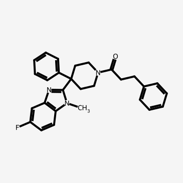 Cn1c(C2(c3ccccc3)CCN(C(=O)CCc3ccccc3)CC2)nc2cc(F)ccc21